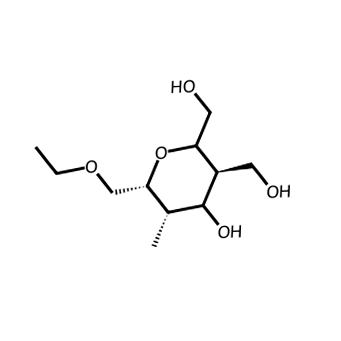 CCOC[C@@H]1OC(CO)[C@@H](CO)C(O)[C@@H]1C